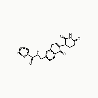 O=C1CCC(C2=CCc3cc(CNC(=O)c4cccnn4)ccc3C2=O)C(=O)N1